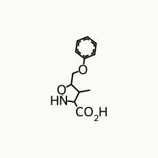 CC1C(COc2ccccc2)ONC1C(=O)O